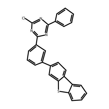 Clc1nc(-c2ccccc2)nc(-c2cccc(-c3ccc4c(c3)sc3ccccc34)c2)n1